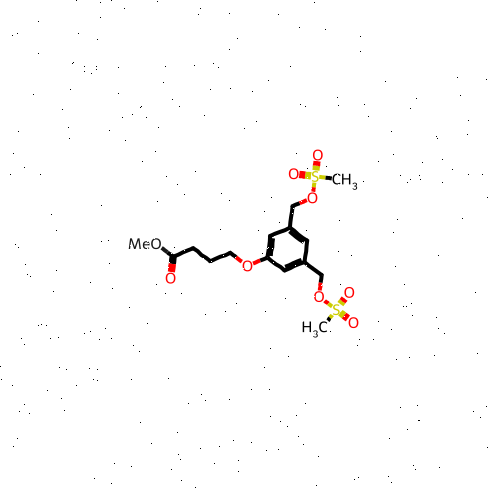 COC(=O)CCCOc1cc(COS(C)(=O)=O)cc(COS(C)(=O)=O)c1